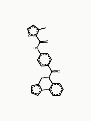 Cc1ccoc1C(=O)Nc1ccc(C(=O)N2Cc3cccn3-c3ccccc32)cc1